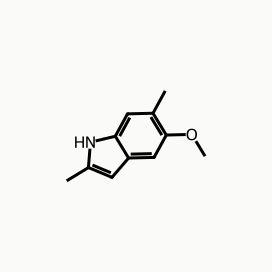 COc1cc2cc(C)[nH]c2cc1C